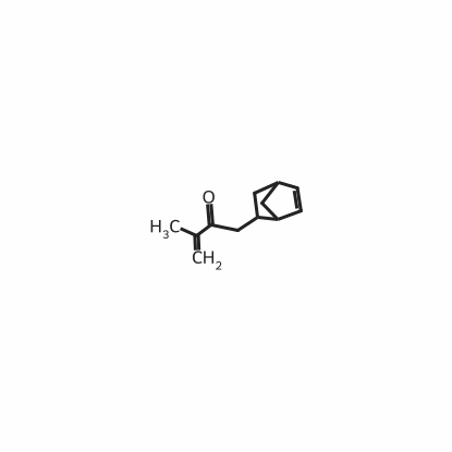 C=C(C)C(=O)CC1CC2C=CC1C2